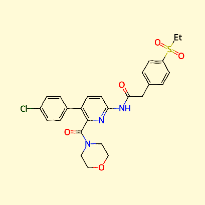 CCS(=O)(=O)c1ccc(CC(=O)Nc2ccc(-c3ccc(Cl)cc3)c(C(=O)N3CCOCC3)n2)cc1